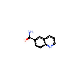 NC(=O)c1ccc2ncc[c]c2c1